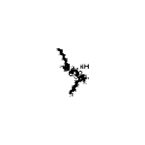 CCCCCCCCC(C)(OC(=O)CC(=O)OC(C)(CCCCCCCC)C(C)(C)C)C(C)(C)C.[KH]